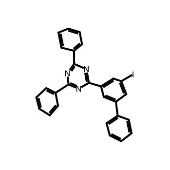 Ic1cc(-c2ccccc2)cc(-c2nc(-c3ccccc3)nc(-c3ccccc3)n2)c1